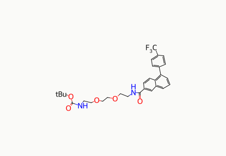 CC(C)(C)OC(=O)NCCOCCOCCNC(=O)c1ccc2c(-c3ccc(C(F)(F)F)cc3)cccc2c1